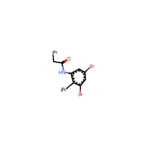 CC(C)CC(=O)Nc1cc(Br)cc(Br)c1C(C)C